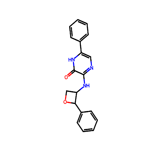 O=c1[nH]c(-c2ccccc2)cnc1NC1COC1c1ccccc1